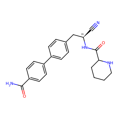 N#C[C@H](Cc1ccc(-c2ccc(C(N)=O)cc2)cc1)NC(=O)C1CCCCN1